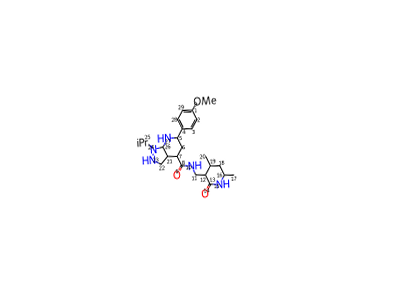 COc1ccc(C2CC(C(=O)NCC3C(=O)NC(C)CC3C)C3CNN(C(C)C)C3N2)cc1